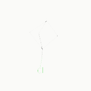 ClC12C[C](C1)C2